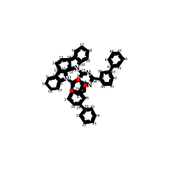 C1=c2c(n(-c3ccccc3)c3c2ccc2c4ccccc4n(-c4nc(-c5cccc(-c6ccccc6)c5)nc(-c5cccc(-c6ccccc6)c5)n4)c23)=CCC1